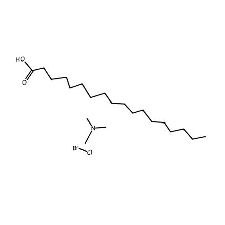 CCCCCCCCCCCCCCCCCC(=O)O.CN(C)C.ClBr